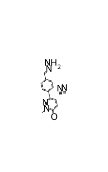 C#N.C#N.Cn1nc(-c2ccc(C=NN)cc2)ccc1=O